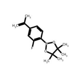 C=C(C)c1ccc(B2OC(C)(C)C(C)(C)O2)c(F)c1